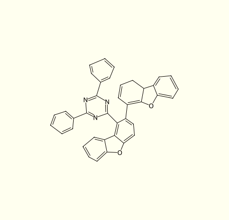 C1=CC(c2ccc3oc4ccccc4c3c2-c2nc(-c3ccccc3)nc(-c3ccccc3)n2)=C2Oc3ccccc3C2C1